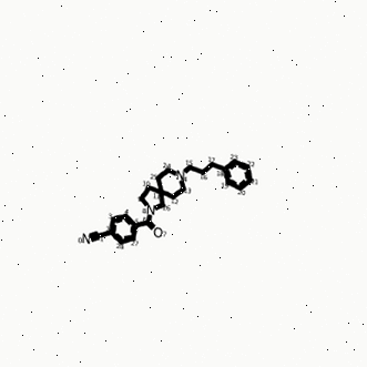 N#Cc1ccc(C(=O)N2CCC3(CCN(CCCc4ccccc4)CC3)C2)cc1